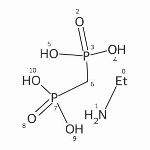 CCN.O=P(O)(O)CP(=O)(O)O